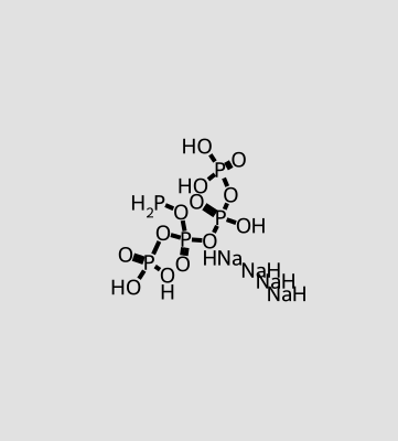 O=P(O)(O)OP(=O)(O)OP(=O)(OP)OP(=O)(O)O.[NaH].[NaH].[NaH].[NaH]